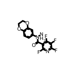 NN(C(=O)c1c(F)nc(F)c(F)c1F)c1ccc2c(c1)OCCO2